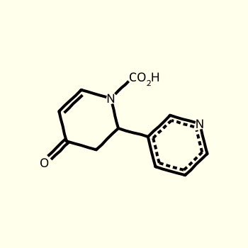 O=C1C=CN(C(=O)O)C(c2cccnc2)C1